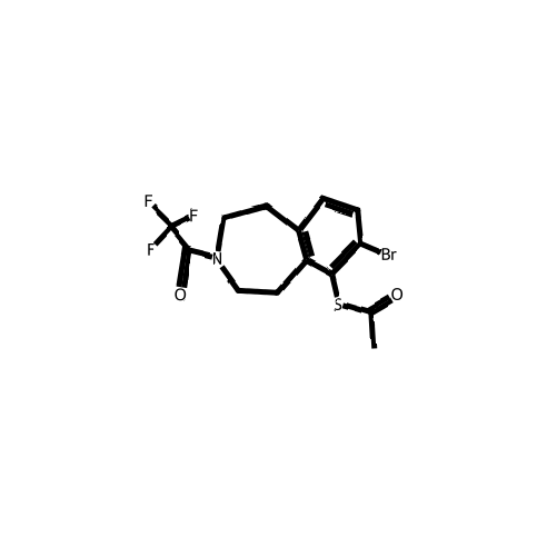 CC(=O)Sc1c(Br)ccc2c1CCN(C(=O)C(F)(F)F)CC2